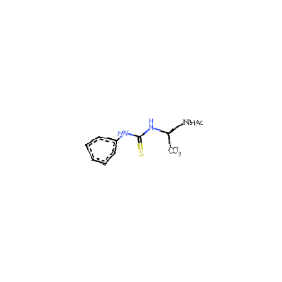 CC(=O)NC(NC(=S)Nc1ccccc1)C(Cl)(Cl)Cl